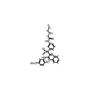 COc1ccc(Cl)c(Nc2nc3ccccc3nc2N(c2cccc(NC(=O)CNCCF)c2)[SH](=O)=O)c1